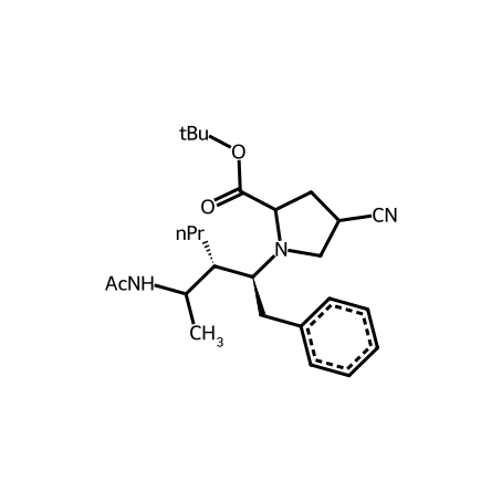 CCC[C@@H](C(C)NC(C)=O)[C@H](Cc1ccccc1)N1CC(C#N)CC1C(=O)OC(C)(C)C